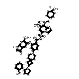 COc1nc2[nH]cc(F)c2cc1Oc1cc(N2CCC3(CC2)CC(N2CCC[C@H]2c2ccccc2C(C)C)C3)ccc1C(=O)NS(=O)(=O)c1cc([NH+](C)[O-])c(NC[C@H]2CC[C@](C)(O)CC2)c2nccn12